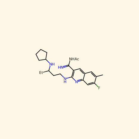 CCC(CCNc1nc2cc(F)c(C)cc2cc1C(=N)NC(C)=O)NC1CCCC1